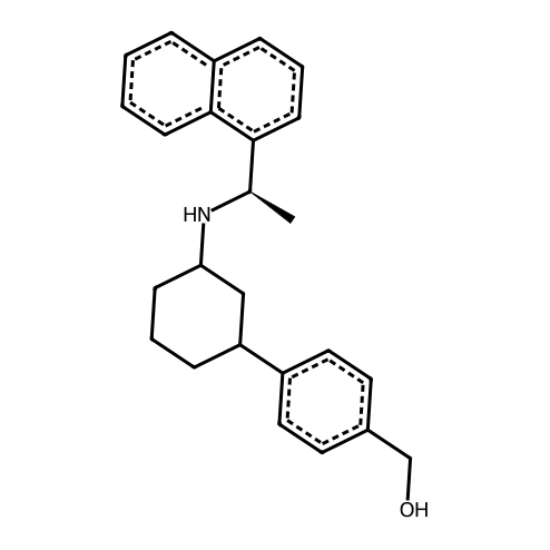 C[C@@H](NC1CCCC(c2ccc(CO)cc2)C1)c1cccc2ccccc12